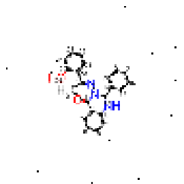 C/C(=N\N1C(=O)c2ccccc2NC1c1ccccc1)c1ccccc1O